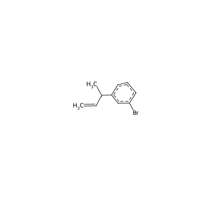 C=C[C](C)c1cccc(Br)c1